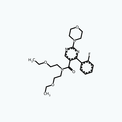 CCOCCN(CCOCC)C(=O)c1cnc(N2CCOCC2)nc1-c1ccccc1F